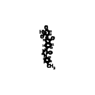 Cc1ccc(N2CCN(c3ccc4c(c3)CN(C3CCC(=O)NC3=O)C4=O)C2=O)cc1